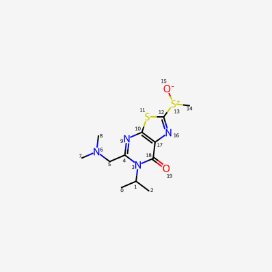 CC(C)n1c(CN(C)C)nc2sc([S+](C)[O-])nc2c1=O